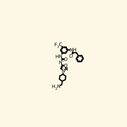 NCC1CCC([n+]2cc([N-]C(=O)Nc3cc(NC(=O)Cc4ccccc4)cc(C(F)(F)F)c3)on2)CC1